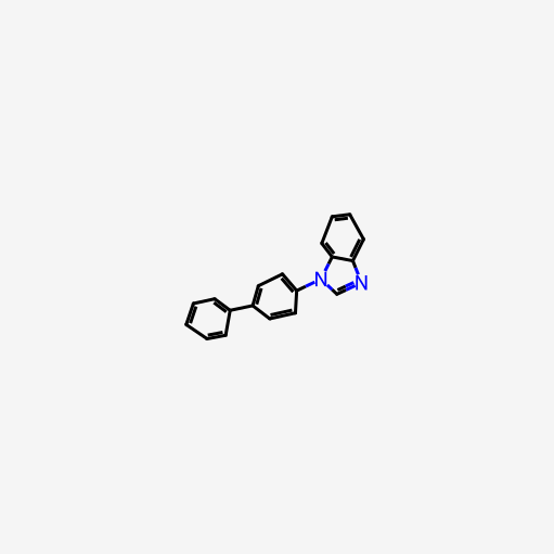 c1ccc(-c2ccc(-n3cnc4ccccc43)cc2)cc1